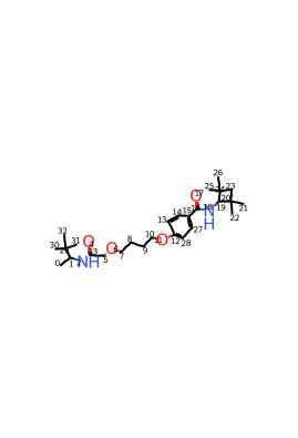 CC(NC(=O)COCCCCOc1ccc(C(=O)NC2C(C)(C)CC2(C)C)cc1)C(C)(C)C